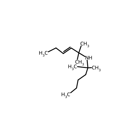 CCC=CC(C)(C)NC(C)(C)CCCC